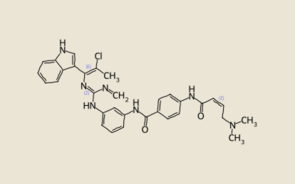 C=N/C(=N\C(=C(/C)Cl)c1c[nH]c2ccccc12)Nc1cccc(NC(=O)c2ccc(NC(=O)/C=C\CN(C)C)cc2)c1